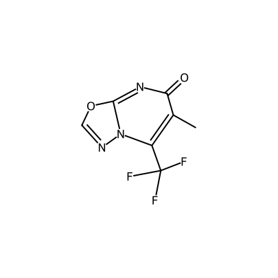 Cc1c(C(F)(F)F)n2ncoc2nc1=O